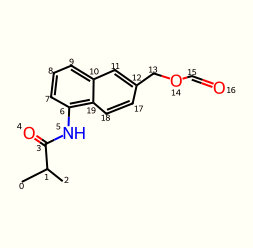 CC(C)C(=O)Nc1cccc2cc(COC=O)ccc12